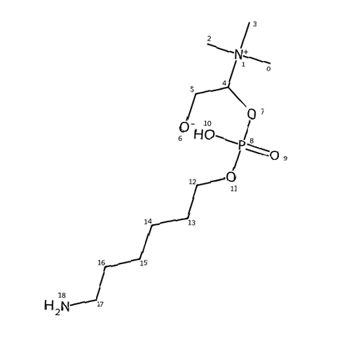 C[N+](C)(C)C(C[O-])OP(=O)(O)OCCCCCCN